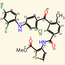 COC(=O)c1sccc1NC(=O)c1ccc(C)c(C(=O)c2ccc(Nc3ccc(F)cc3F)cc2Cl)c1